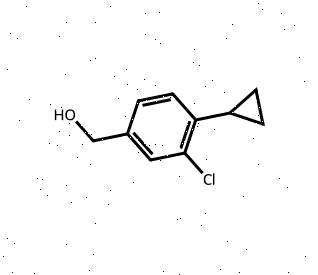 OCc1ccc(C2CC2)c(Cl)c1